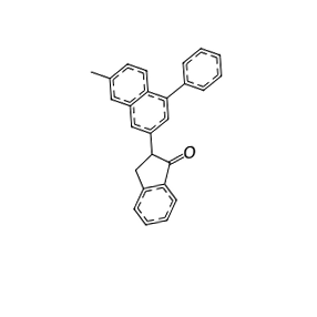 Cc1ccc2c(-c3ccccc3)cc(C3Cc4ccccc4C3=O)cc2c1